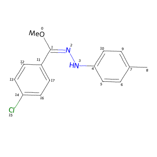 COC(=NNc1ccc(C)cc1)c1[c]cc(Cl)cc1